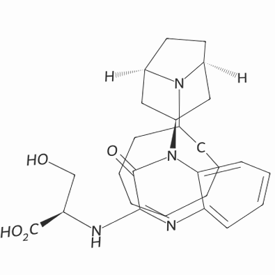 O=C(O)[C@@H](CO)Nc1nc2ccccc2n([C@H]2C[C@H]3CC[C@@H](C2)N3C2CCCCCCC2)c1=O